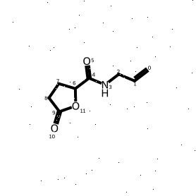 C=CCNC(=O)C1CCC(=O)O1